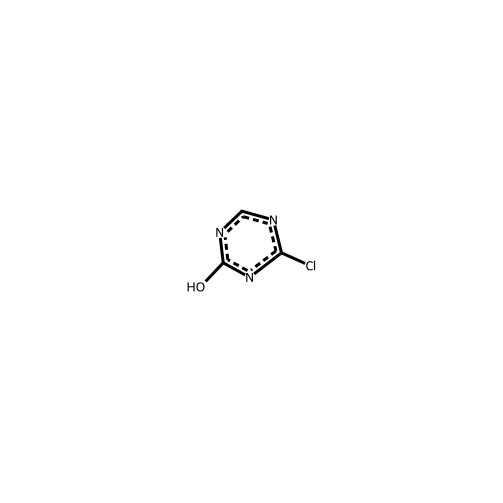 Oc1ncnc(Cl)n1